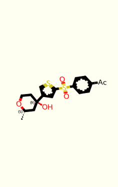 CC(=O)c1ccc(S(=O)(=O)c2cc([C@@]3(O)CCO[C@@H](C)C3)cs2)cc1